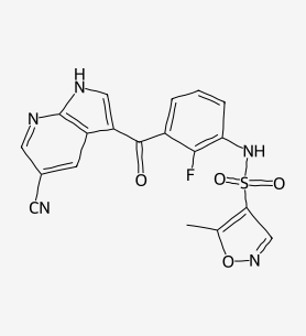 Cc1oncc1S(=O)(=O)Nc1cccc(C(=O)c2c[nH]c3ncc(C#N)cc23)c1F